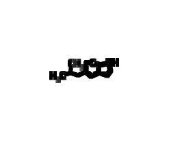 CC(C)Cc1ccc2[nH]ccc2c1